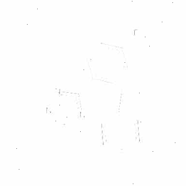 Cc1cccc(C)c1-n1cnnc1-c1ccc(F)cc1